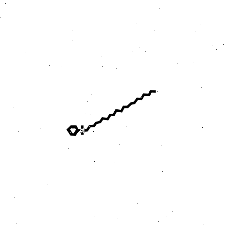 [CH2]CCCCCCCCCCCCCCCCCCCC[Si](C)(C)c1ccccc1